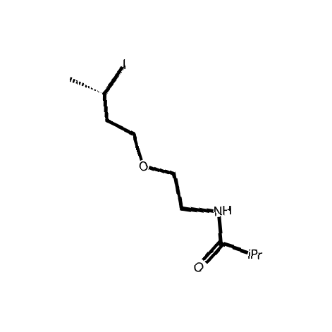 CC(C)C(=O)NCCOCC[C@H](C)I